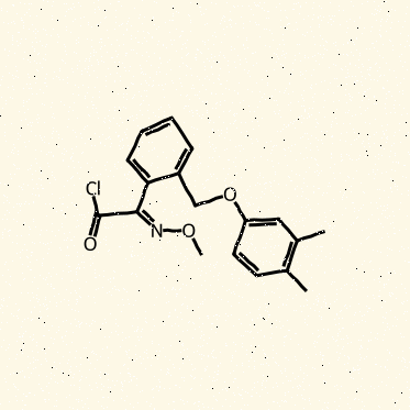 CO/N=C(/C(=O)Cl)c1ccccc1COc1ccc(C)c(C)c1